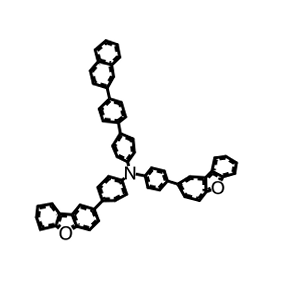 c1ccc2cc(-c3ccc(-c4ccc(N(c5ccc(-c6ccc7oc8ccccc8c7c6)cc5)c5ccc(-c6ccc7oc8ccccc8c7c6)cc5)cc4)cc3)ccc2c1